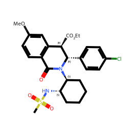 CCOC(=O)[C@@H]1c2cc(OC)ccc2C(=O)N([C@H]2CCCC[C@@H]2NS(C)(=O)=O)[C@H]1c1ccc(Cl)cc1